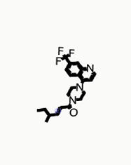 CCC(C)/C=C/C(=O)N1CCN(c2ccnc3cc(C(F)(F)F)ccc23)CC1